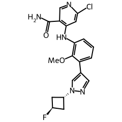 COc1c(Nc2cc(Cl)ncc2C(N)=O)cccc1-c1cnn([C@H]2C[C@H](F)C2)c1